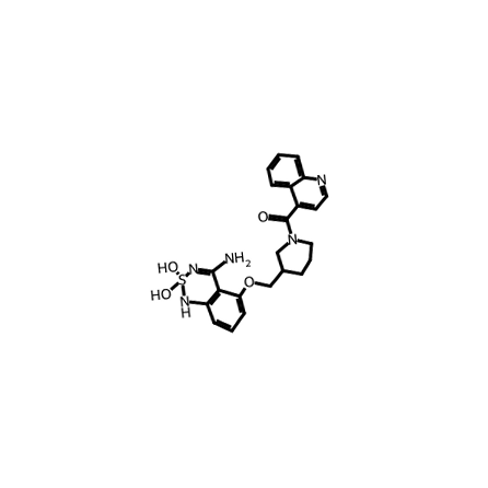 NC1=NS(O)(O)Nc2cccc(OCC3CCCN(C(=O)c4ccnc5ccccc45)C3)c21